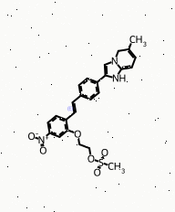 CC1=CC=C2NC(c3ccc(/C=C/c4ccc([N+](=O)[O-])cc4OCCOS(C)(=O)=O)cc3)=CN2C1